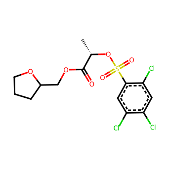 C[C@H](OS(=O)(=O)c1cc(Cl)c(Cl)cc1Cl)C(=O)OCC1CCCO1